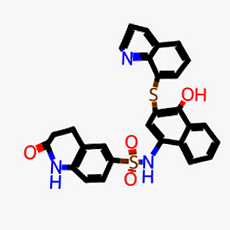 O=C1CCc2cc(S(=O)(=O)Nc3cc(Sc4cccc5cccnc45)c(O)c4ccccc34)ccc2N1